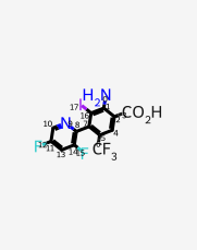 Nc1c(C(=O)O)cc(C(F)(F)F)c(-c2ncc(F)cc2F)c1I